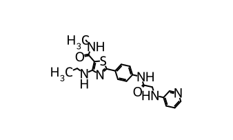 CCNc1nc(-c2ccc(NC(=O)CNc3cccnc3)cc2)sc1C(=O)NC